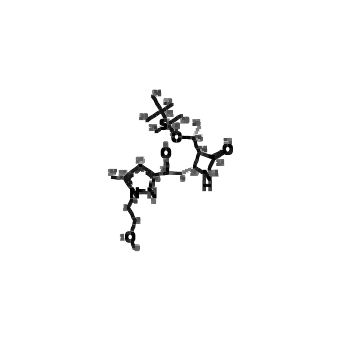 COCCn1nc(C(=O)C[C@H]2NC(=O)[C@@H]2[C@@H](C)O[Si](C)(C)C(C)(C)C)cc1C